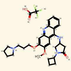 COc1cc2c(NC3CC(=O)N(C4CCC4)C3)c3ccccc3nc2cc1OCCCN1CCCC1.O=C(O)C(F)(F)F